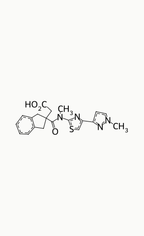 CN(C(=O)C1(CC(=O)O)Cc2ccccc2C1)c1nc(-c2ccn(C)n2)cs1